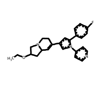 CCOC1CC2C=C(c3cc(-c4ccc(F)cc4)n(-c4ccncc4)c3)CCN2C1